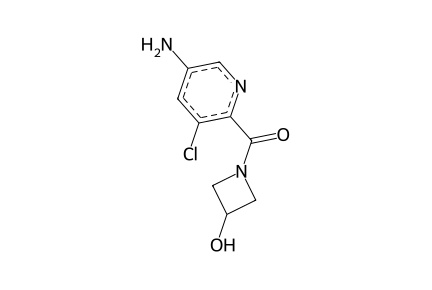 Nc1cnc(C(=O)N2CC(O)C2)c(Cl)c1